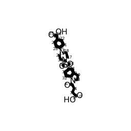 O=C(O)CCC(=O)N1CCc2cc(S(=O)(=O)N3CCN(c4ccc(C(=O)O)cc4)CC3)ccc21